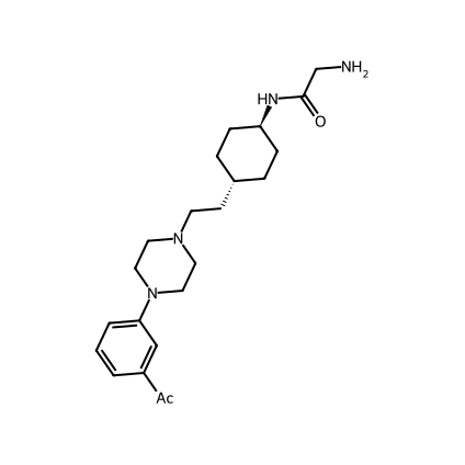 CC(=O)c1cccc(N2CCN(CC[C@H]3CC[C@H](NC(=O)CN)CC3)CC2)c1